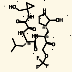 CC(C)C[C@H](NC(=O)C(=O)NC1(CO)CC1)C(=O)N[C@@H](C[C@@H]1CCNC1O)C(=O)COC(F)(F)F